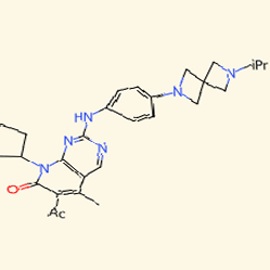 CC(=O)c1c(C)c2cnc(Nc3ccc(N4CC5(C4)CN(C(C)C)C5)cc3)nc2n(C2CCCC2)c1=O